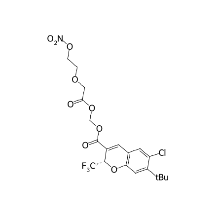 CC(C)(C)c1cc2c(cc1Cl)C=C(C(=O)OCOC(=O)COCCO[N+](=O)[O-])[C@@H](C(F)(F)F)O2